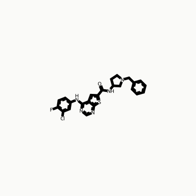 O=C(NC1CCN(Cc2ccccc2)C1)c1cc2c(Nc3ccc(F)c(Cl)c3)ncnc2s1